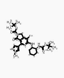 Cn1cc(-c2nc(N[C@@H]3CCCC[C@@H]3NC(=O)OC(C)(C)C)c(F)c3c2C(=O)N(C(=O)OC(C)(C)C)C3)cn1